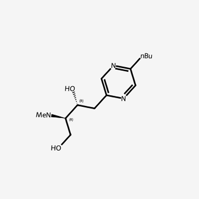 CCCCc1cnc(C[C@@H](O)[C@@H](CO)NC)cn1